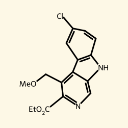 CCOC(=O)c1ncc2[nH]c3ccc(Cl)cc3c2c1COC